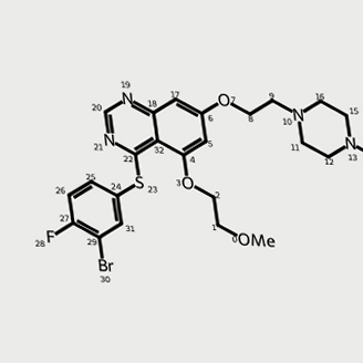 COCCOc1cc(OCCN2CCN(C)CC2)cc2ncnc(Sc3ccc(F)c(Br)c3)c12